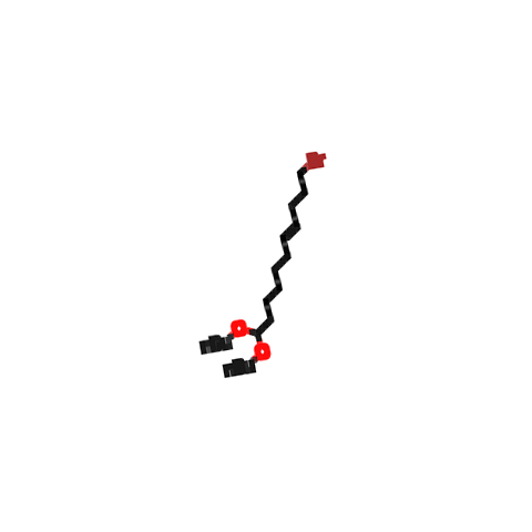 CCCCOC(CCCCC/C=C/CCCBr)OCCCC